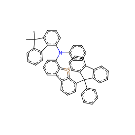 CC1(C)c2ccccc2-c2c(N(c3ccccc3)c3cccc4c3sc3c(C5(c6ccccc6)c6ccccc6-c6ccccc65)cccc34)cccc21